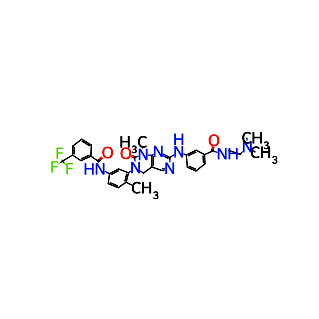 Cc1ccc(NC(=O)c2cccc(C(F)(F)F)c2)cc1N1Cc2cnc(Nc3cccc(C(=O)NCCN(C)C)c3)nc2N(C)C1=O